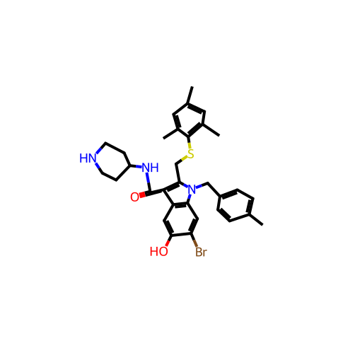 Cc1ccc(Cn2c(CSc3c(C)cc(C)cc3C)c(C(=O)NC3CCNCC3)c3cc(O)c(Br)cc32)cc1